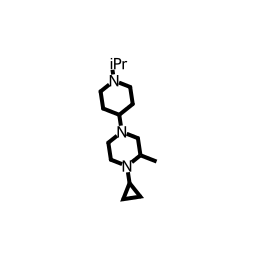 CC(C)N1CCC(N2CCN(C3CC3)C(C)C2)CC1